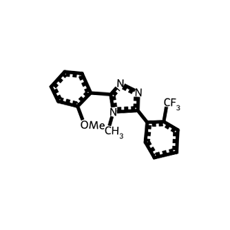 COc1ccccc1-c1nnc(-c2ccccc2C(F)(F)F)n1C